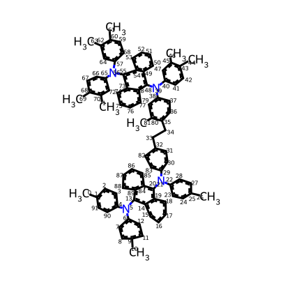 Cc1ccc(N(c2ccc(C)cc2)c2c3ccccc3c(N(c3ccc(C)cc3)c3ccc(CCc4ccc(N(c5ccc(C)c(C)c5)c5c6ccccc6c(N(c6ccc(C)c(C)c6)c6ccc(C)c(C)c6)c6ccccc56)cc4C)cc3)c3ccccc23)cc1